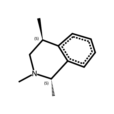 C[C@@H]1CN(C)[C@@H](C)c2ccccc21